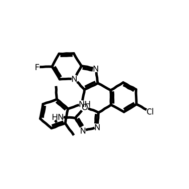 CNc1nnc(-c2cc(Cl)ccc2-c2nc3ccc(F)cn3c2Nc2c(C)cccc2C)o1